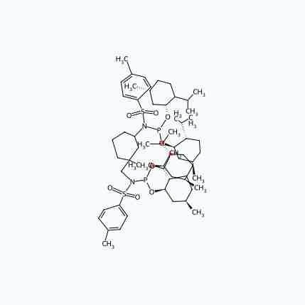 Cc1ccc(S(=O)(=O)N(CC2(C)CCCC(N(P(O[C@@H]3C[C@H](C)CCC3C(C)C)O[C@@H]3C[C@H](C)CC[C@H]3C(C)C)S(=O)(=O)c3ccc(C)cc3)C2)P(O[C@@H]2C[C@H](C)CC[C@H]2C(C)C)O[C@@H]2C[C@H](C)CC[C@H]2C(C)C)cc1